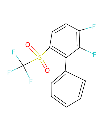 O=S(=O)(c1ccc(F)c(F)c1-c1ccccc1)C(F)(F)F